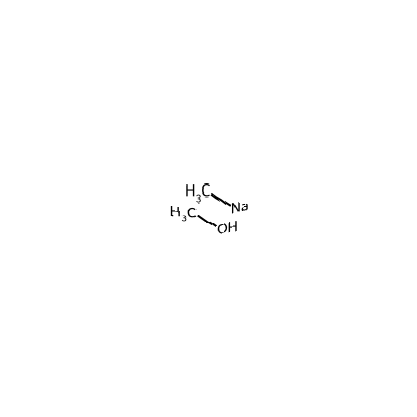 CO.[CH3][Na]